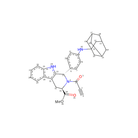 C#CC(=O)N1[C@@H](c2ccc(NC34CC5CC(CC(C5)C3)C4)cc2)c2[nH]c3ccccc3c2C[C@@H]1C(=O)OC